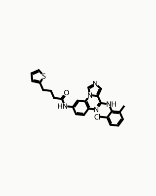 Cc1cccc(Cl)c1Nc1nc2ccc(NC(=O)CCCc3cccs3)cc2n2cncc12